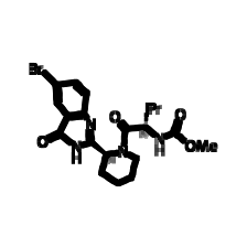 COC(=O)N[C@H](C(=O)N1CCCC[C@H]1c1nc2ccc(Br)cc2c(=O)[nH]1)C(C)C